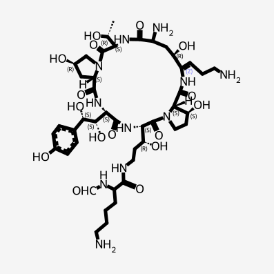 C[C@@H](O)[C@@H]1NC(=O)C(N)C[C@@H](O)/C(=C/CCN)NC(=O)[C@@H]2[C@@H](O)CCN2C(=O)[C@H]([C@H](O)CCNC(=O)C(CCCCN)NC=O)NC(=O)[C@H]([C@H](O)[C@@H](O)c2ccc(O)cc2)NC(=O)[C@@H]2C[C@@H](O)CN2C1=O